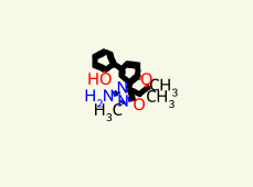 CN1C(=O)C2(CC(C)(C)Oc3ccc(-c4ccccc4O)cc32)N=C1N